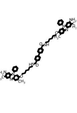 CC1=CC2=Nc3cc(C)c(N)cc3N(c3ccccc3)C2C=C1OCCCCCCNC(=O)c1ccc(-c2ccc(C(=O)NCCCCCCOc3cc4c(cc3C)nc3cc(C)c(N)cc3[n+]4-c3ccccc3)cc2)cc1